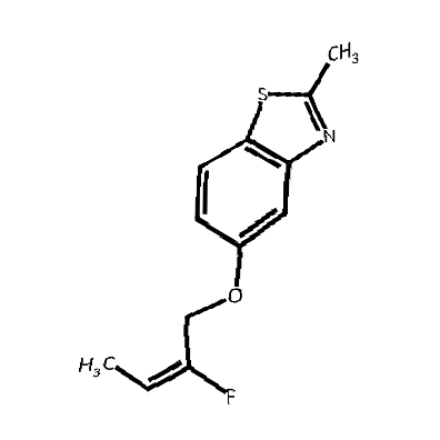 C/C=C(/F)COc1ccc2sc(C)nc2c1